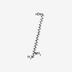 CCCCCCCCCCCCCCCCCCCCCCCCCCCCCCCCCCCCCCC(N)CCN